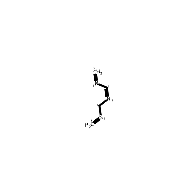 C=N/C=N\CN=C